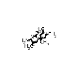 CCCC(C)(CCC)n1cc(C)c(N)nc1=O